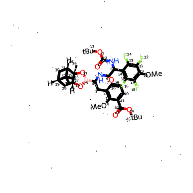 COc1c(CC(NC(=O)C(NC(=O)OC(C)(C)C)c2c(F)c(F)c(OC)c(F)c2F)B2O[C@@H]3C[C@@H]4C[C@@H](C4(C)C)[C@]3(C)O2)cccc1C(=O)OC(C)(C)C